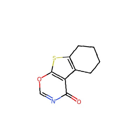 O=c1ncoc2sc3c(c12)CCCC3